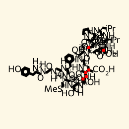 CSCC[C@H](NC(=O)[C@H](Cc1ccccc1)NC(=O)CNC(=O)CNC(=O)[C@@H](N)Cc1ccc(O)cc1)C(=O)N[C@H](C(=O)N[C@@H](CO)C(=O)N[C@@H](CCC(=O)O)C(=O)N[C@@H](CCCCN)C(=O)N[C@@H](CO)C(=O)N[C@@H](CCC(N)=O)C(=O)N[C@H](C(=O)N1CCC[C@H]1C(=O)N[C@@H](CC(C)C)C(=O)N[C@H](C(=O)N[C@H](C(=O)N[C@@H](CC(C)C)C(=O)O)[C@@H](C)O)C(C)C)[C@@H](C)O)[C@@H](C)O